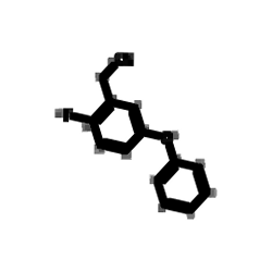 N#C[CH]c1cc(Oc2ccccc2)ccc1F